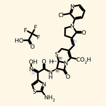 Nc1nc(/C(=N/O)C(=O)N[C@@H]2C(=O)N3C(C(=O)O)=C(/C=C4\CCN(c5cccnc5Cl)C4=O)CS[C@H]23)cs1.O=C(O)C(F)(F)F